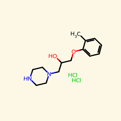 Cc1ccccc1OCC(O)CN1CCNCC1.Cl.Cl